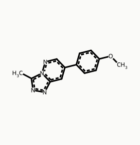 COc1ccc(-c2cnn3c(C)nnc3c2)cc1